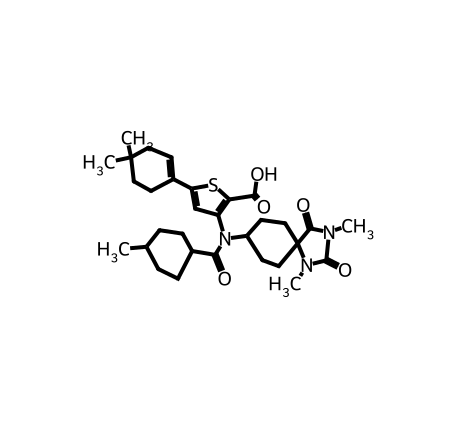 CC1CCC(C(=O)N(c2cc(C3=CCC(C)(C)CC3)sc2C(=O)O)C2CCC3(CC2)C(=O)N(C)C(=O)N3C)CC1